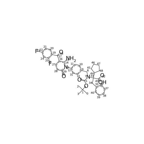 CC(C)(C)OC(=O)N(Cc1ccc(-n2c(N)c(C(=O)c3ccc(F)cc3F)ccc2=O)cc1)C(Cc1ccccc1)(C(=O)O)C1CCCC1